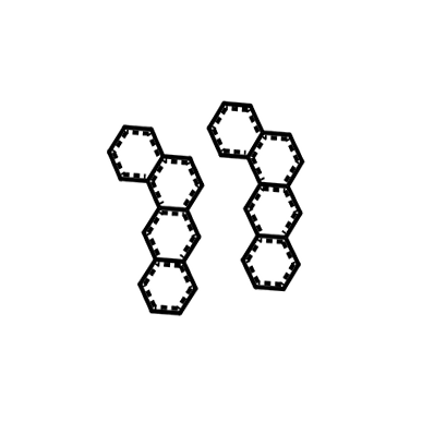 c1ccc2cc3c(ccc4ccccc43)cc2c1.c1ccc2cc3c(ccc4ccccc43)cc2c1